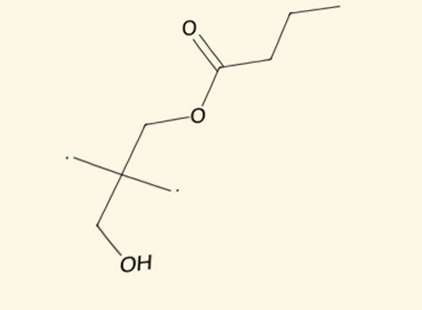 [CH2]C([CH2])(CO)COC(=O)CCC